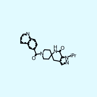 CC(C)n1ncc2c1C(=O)NC1(CCN(C(=O)c3ccc4ncccc4c3)CC1)C2